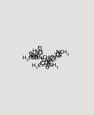 Cc1cc([C@@H](C)Nc2ccc(Cl)nc2C(=O)NS(C)(=O)=O)c2nc(N3CCN(c4cnc(C)nc4)CC3)n(C)c(=O)c2c1